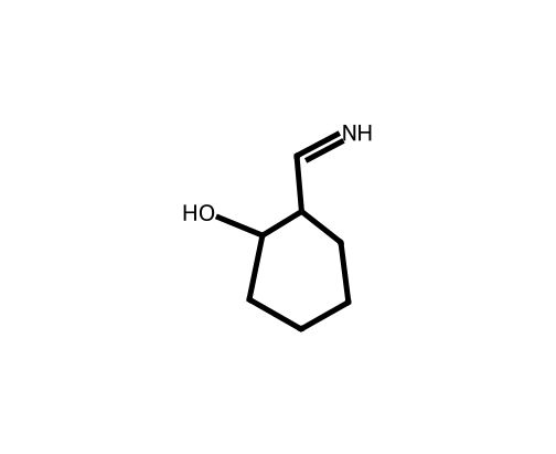 N=CC1CCCCC1O